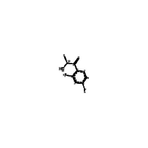 C=C(c1ccc(F)cc1F)[C@H](C)O